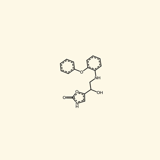 O=c1[nH]cc(C(O)CNc2ccccc2Oc2ccccc2)o1